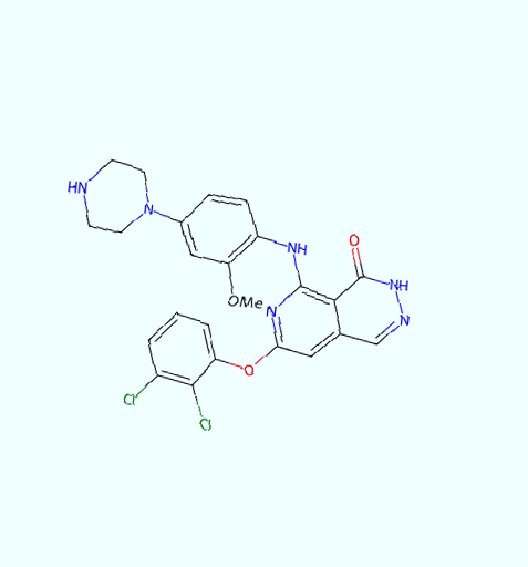 COc1cc(N2CCNCC2)ccc1Nc1nc(Oc2cccc(Cl)c2Cl)cc2cn[nH]c(=O)c12